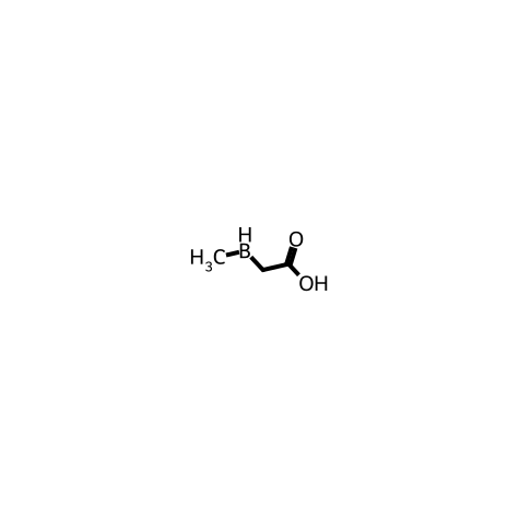 CBCC(=O)O